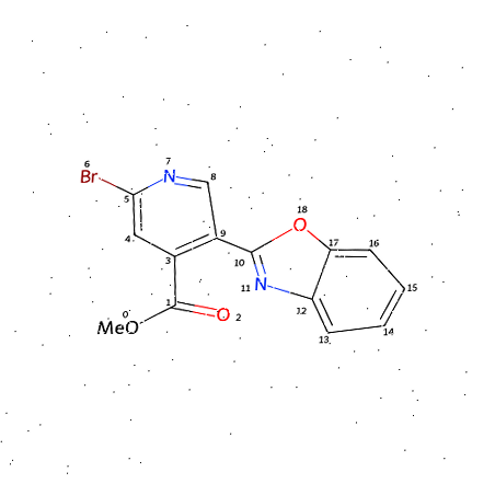 COC(=O)c1cc(Br)ncc1-c1nc2ccccc2o1